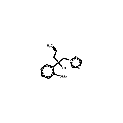 C=CCC(C#N)(Cn1cncn1)c1ccccc1OC